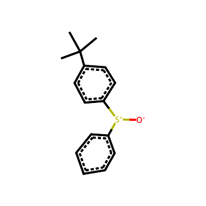 CC(C)(C)c1ccc([S+]([O-])c2ccccc2)cc1